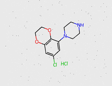 Cl.Clc1cc2c(c(N3CCNCC3)c1)OCCO2